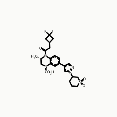 C[C@H]1CN(C(=O)O)c2cc(-c3cnn(C4CCCS(=O)(=O)C4)c3)ccc2N1C(=O)CC1CC(F)(F)C1